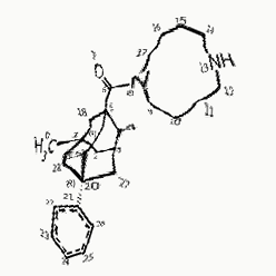 C[C@]12CC3CC(C(=O)N4CCCCNCCCC4)(C1)C[C@@](c1ccccc1)(C3)C2